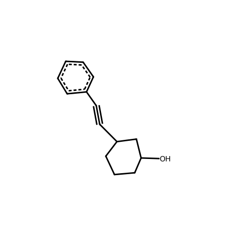 OC1CCCC(C#Cc2ccccc2)C1